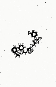 CC(C)(C)[Si](OCCc1cc(OCC2CN(c3cccc(F)c3)C(=O)O2)no1)(c1ccccc1)c1ccccc1